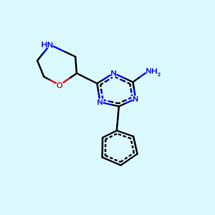 Nc1nc(-c2ccccc2)nc(C2CNCCO2)n1